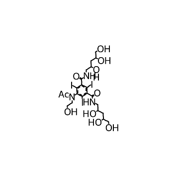 CC(=O)N(CCO)c1c(I)c(C(=O)NCC(O)CC(O)CO)c(I)c(C(=O)NCC(O)CC(O)CO)c1I